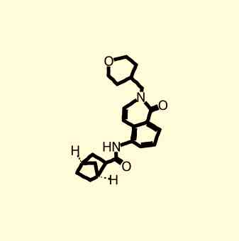 O=C(Nc1cccc2c(=O)n(CC3CCOCC3)ccc12)C1C[C@@H]2CC[C@H]1C2